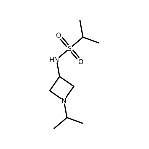 CC(C)N1CC(NS(=O)(=O)C(C)C)C1